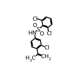 C=C(C)c1ccc(NS(=O)(=O)c2c(Cl)cccc2Cl)cc1Cl